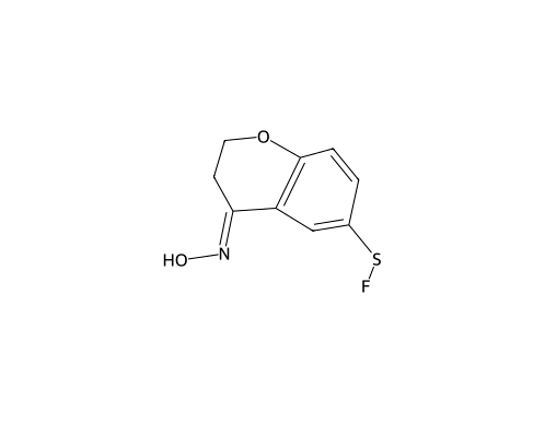 ON=C1CCOc2ccc(SF)cc21